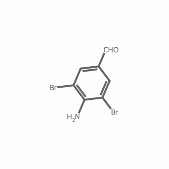 Nc1c(Br)cc(C=O)cc1Br